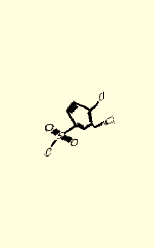 [O]S(=O)(=O)c1ccc(Cl)c(Cl)c1